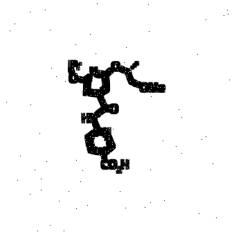 COC[C@@H](C)Oc1cc(C(=O)Nc2ccc(C(=O)O)cn2)cc(OC(C)C)n1